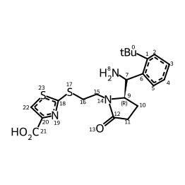 CC(C)(C)c1ccccc1C(N)[C@H]1CCC(=O)N1CCSc1nc(C(=O)O)cs1